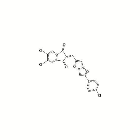 O=C1C(=Cc2cc3oc(-c4ccc(Cl)cc4)cc3o2)C(=O)c2cc(Cl)c(Cl)cc21